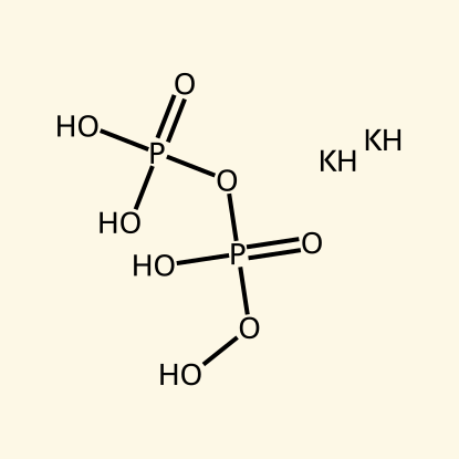 O=P(O)(O)OP(=O)(O)OO.[KH].[KH]